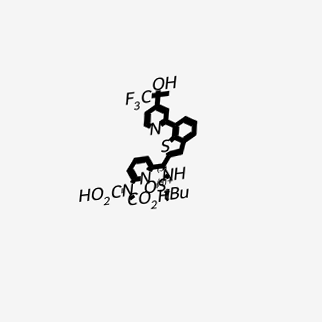 CC(C)(C)[S@@+]([O-])N[C@@H](c1cccc(N(C(=O)O)C(=O)O)n1)c1cc2cccc(-c3cc(C(C)(O)C(F)(F)F)ccn3)c2s1